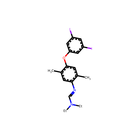 CCN(/C=N/c1cc(C)c(Oc2cc(I)cc(I)c2)cc1C)CC